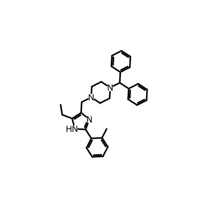 CCc1[nH]c(-c2ccccc2C)nc1CN1CCN(C(c2ccccc2)c2ccccc2)CC1